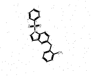 Cc1ccccc1Cc1ccc2c(ccn2S(=O)(=O)c2ccccc2)c1